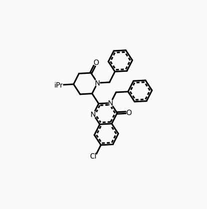 CC(C)C1CC(=O)N(Cc2ccccc2)C(c2nc3cc(Cl)ccc3c(=O)n2Cc2ccccc2)C1